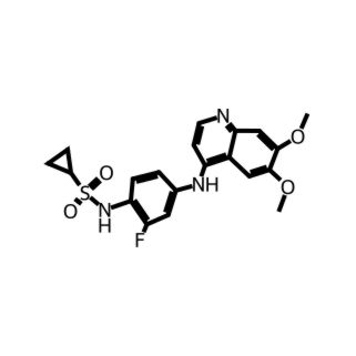 COc1cc2nccc(Nc3ccc(NS(=O)(=O)C4CC4)c(F)c3)c2cc1OC